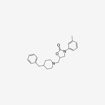 Cc1cccc(N2CC(CN3CCC(Cc4ccccc4)CC3)OC2=O)c1